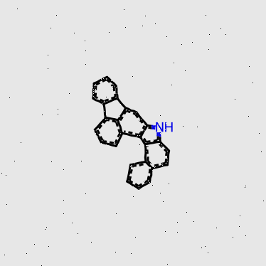 c1ccc2c(c1)-c1cccc3c1c-2cc1[nH]c2ccc4ccccc4c2c13